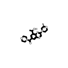 CC(O)c1cc(C(=O)N2CCOCC2)cc2ncc(N3CCO[C@H](C)C3)nc12